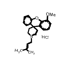 COc1cccc2c1Oc1ccccc1C21CCN(CC=C(C)C)CC1.Cl